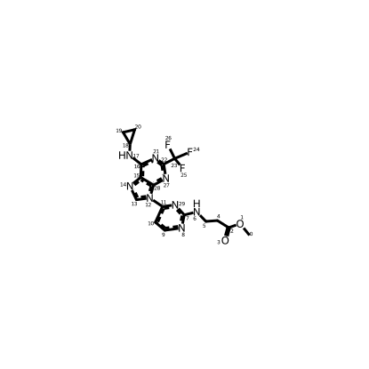 COC(=O)CCNc1nccc(-n2cnc3c(NC4CC4)nc(C(F)(F)F)nc32)n1